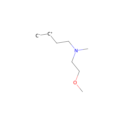 [CH2-][CH+]CCN(C)CCOC